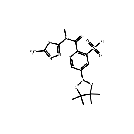 CCS(=O)(=O)c1cc(B2OC(C)(C)C(C)(C)O2)cnc1C(=O)N(C)c1nnc(C(F)(F)F)s1